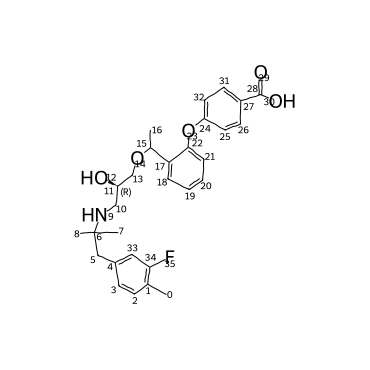 Cc1ccc(CC(C)(C)NC[C@@H](O)COC(C)c2ccccc2Oc2ccc(C(=O)O)cc2)cc1F